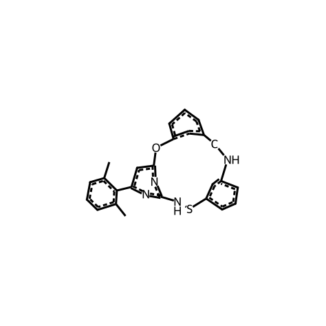 Cc1cccc(C)c1-c1cc2nc(n1)NSc1cccc(c1)NCc1cccc(c1)O2